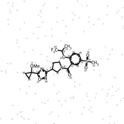 COC1(c2nc(C3CCN(C(=O)c4cc(S(C)(=O)=O)ccc4OC(C)C(F)(F)F)C3)no2)CC1